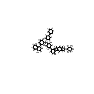 c1ccc(-c2ccc(N(c3ccc(-c4cccc5c4oc4cc6oc(-c7ccccc7)nc6cc45)cc3)c3cccc(-c4cccc5ccccc45)c3)cc2)cc1